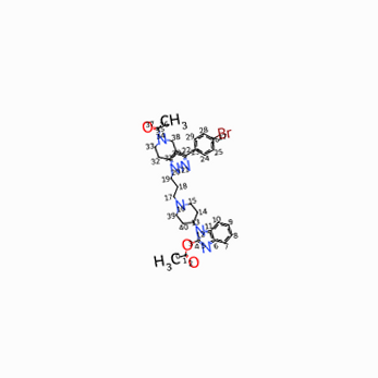 CC(=O)Oc1nc2ccccc2n1C1CCN(CCCn2nc(-c3ccc(Br)cc3)c3c2CCN(C(C)=O)C3)CC1